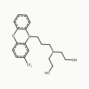 OCCN(CCO)CCCN1c2ccccc2Oc2ccc(C(F)(F)F)cc21